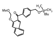 COCOc1cc2ccccc2cc1C(=O)c1ccc(CO[Si](C)(C)C(C)(C)C)cc1